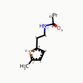 Cc1ccc(CCNC(=O)C(C)C)s1